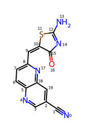 N#Cc1cnc2ccc(C=C3SC(N)=NC3=O)nc2c1